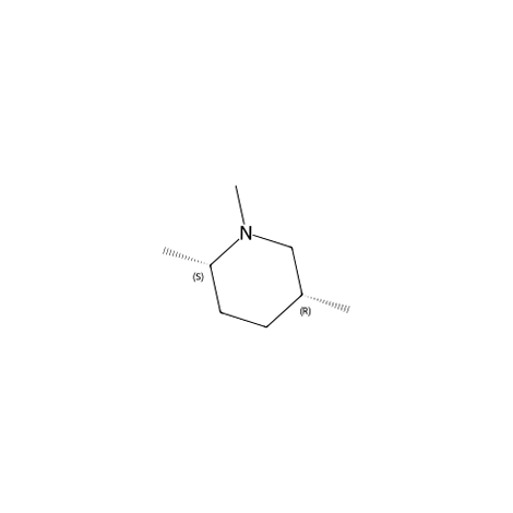 C[C@@H]1CC[C@H](C)N(C)C1